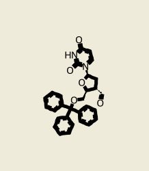 O=C[C@H]1C[C@H](n2ccc(=O)[nH]c2=O)O[C@@H]1COC(c1ccccc1)(c1ccccc1)c1ccccc1